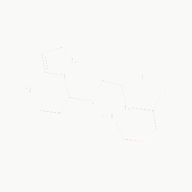 CC(CN(C(=O)O)c1ccnc2ccnn12)N1CCOCC1Cl